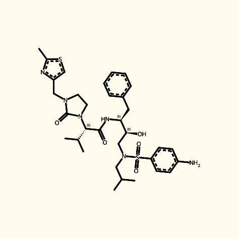 Cc1nc(CN2CCN([C@H](C(=O)N[C@@H](Cc3ccccc3)[C@@H](O)CN(CC(C)C)S(=O)(=O)c3ccc(N)cc3)C(C)C)C2=O)cs1